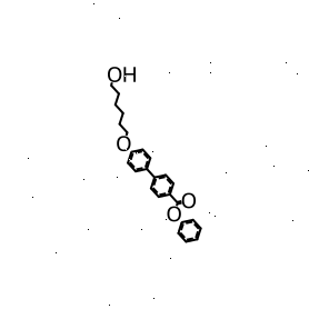 O=C(Oc1ccccc1)c1ccc(-c2ccc(OCCCCCCO)cc2)cc1